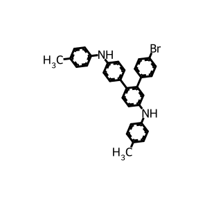 Cc1ccc(Nc2ccc(-c3ccc(Nc4ccc(C)cc4)cc3-c3ccc(Br)cc3)cc2)cc1